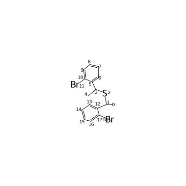 CC(SC(C)c1ccccc1Br)c1ccccc1Br